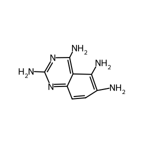 Nc1nc(N)c2c(N)c(N)ccc2n1